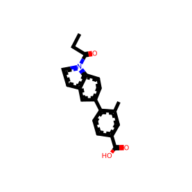 CCC(=O)n1ccc2cc(-c3ccc(C(=O)O)cc3C)ccc21